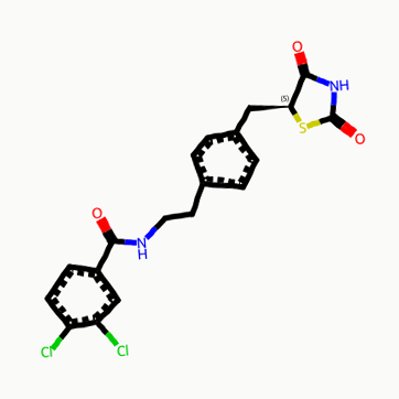 O=C1NC(=O)[C@H](Cc2ccc(CCNC(=O)c3ccc(Cl)c(Cl)c3)cc2)S1